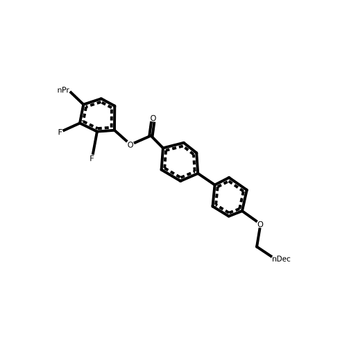 CCCCCCCCCCCOc1ccc(-c2ccc(C(=O)Oc3ccc(CCC)c(F)c3F)cc2)cc1